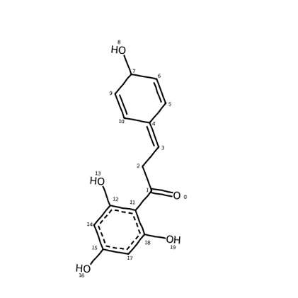 O=C(CC=C1C=CC(O)C=C1)c1c(O)cc(O)cc1O